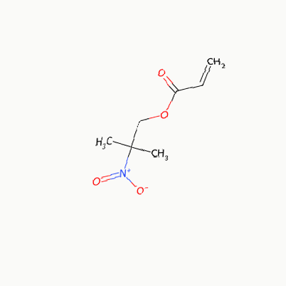 C=CC(=O)OCC(C)(C)[N+](=O)[O-]